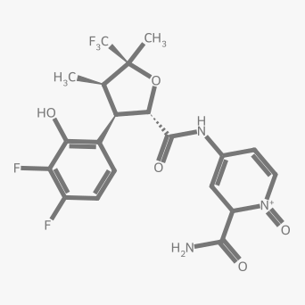 C[C@@H]1[C@H](c2ccc(F)c(F)c2O)[C@@H](C(=O)NC2=CC(C(N)=O)[N+](=O)C=C2)O[C@]1(C)C(F)(F)F